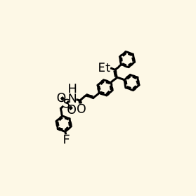 CCC(=C(c1ccccc1)c1ccc(C=CC(=O)NS(=O)(=O)Cc2ccc(F)cc2)cc1)c1ccccc1